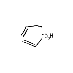 C=CC.C=CC(=O)O